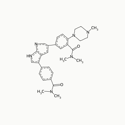 CN1CCN(c2ccc(-c3cnc4[nH]cc(-c5ccc(C(=O)N(C)C)cc5)c4c3)cc2C(=O)N(C)C)CC1